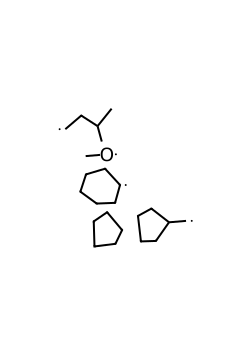 C1CCCC1.C[O].[CH2]C1CCCC1.[CH2]CC(C)C.[CH]1CCCCC1